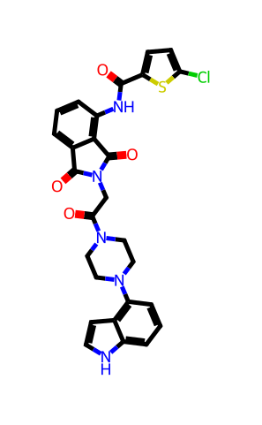 O=C(Nc1cccc2c1C(=O)N(CC(=O)N1CCN(c3cccc4[nH]ccc34)CC1)C2=O)c1ccc(Cl)s1